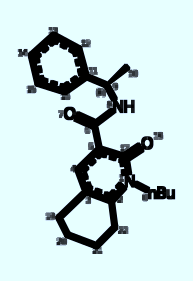 CCCCn1c2c(cc(C(=O)N[C@H](C)c3ccccc3)c1=O)CCCC2